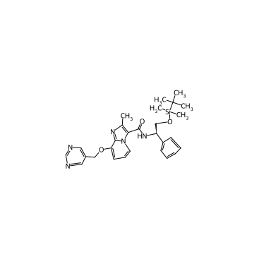 Cc1nc2c(OCc3cncnc3)cccn2c1C(=O)N[C@@H](CO[Si](C)(C)C(C)(C)C)c1ccccc1